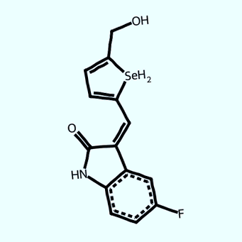 O=C1Nc2ccc(F)cc2/C1=C/C1=CC=C(CO)[SeH2]1